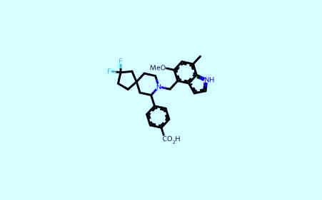 COc1cc(C)c2[nH]ccc2c1CN1CCC2(CCC(F)(F)C2)CC1c1ccc(C(=O)O)cc1